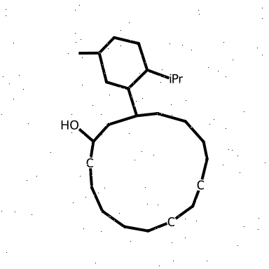 CC1CCC(C(C)C)C(C2CCCCCCCCCCCCC(O)C2)C1